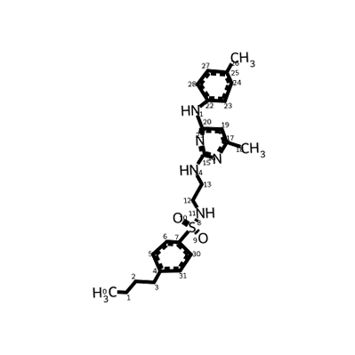 CCCCc1ccc(S(=O)(=O)NCCNc2nc(C)cc(Nc3ccc(C)cc3)n2)cc1